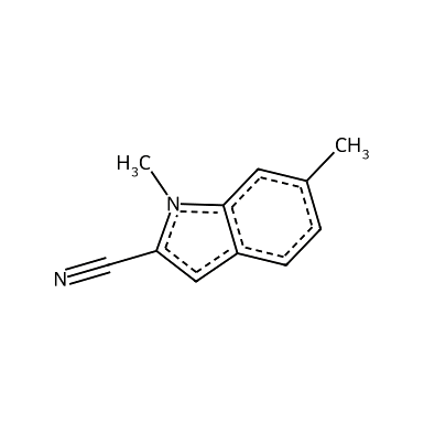 Cc1ccc2cc(C#N)n(C)c2c1